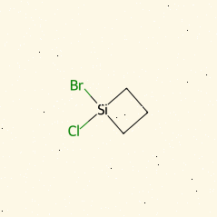 Cl[Si]1(Br)CCC1